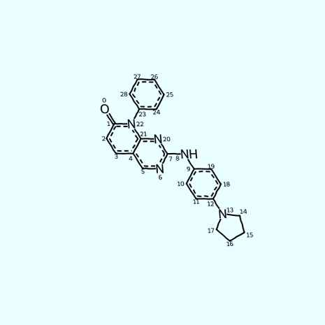 O=c1ccc2cnc(Nc3ccc(N4CCCC4)cc3)nc2n1-c1ccccc1